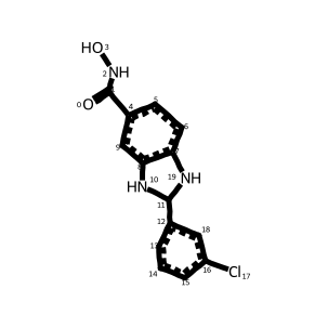 O=C(NO)c1ccc2c(c1)NC(c1cccc(Cl)c1)N2